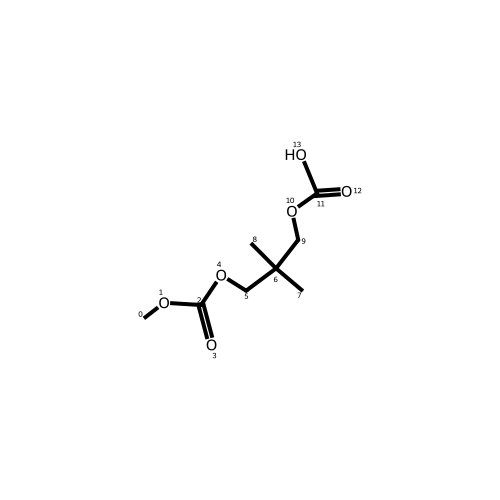 COC(=O)OCC(C)(C)COC(=O)O